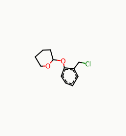 ClCc1ccccc1OC1CCCCO1